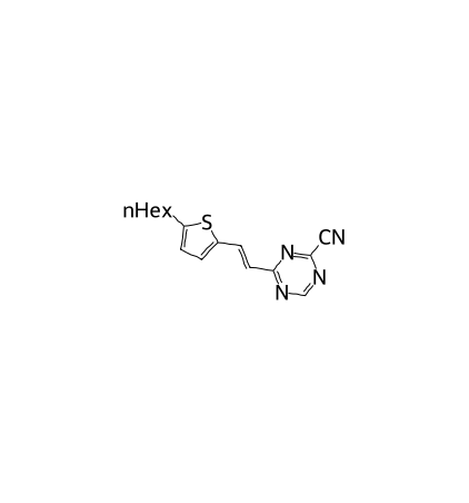 CCCCCCc1ccc(C=Cc2ncnc(C#N)n2)s1